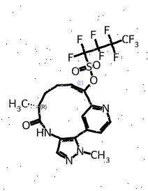 C[C@@H]1CC/C=C(/OS(=O)(=O)C(F)(F)C(F)(F)C(F)(F)C(F)(F)F)c2cc(ccn2)-c2c(cnn2C)NC1=O